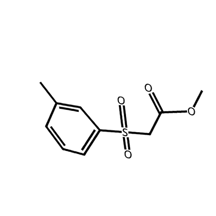 COC(=O)CS(=O)(=O)c1cccc(C)c1